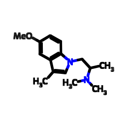 COc1ccc2c(c1)c(C)cn2CC(C)N(C)C